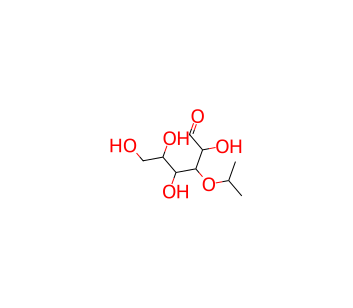 CC(C)OC(C(O)C=O)C(O)C(O)CO